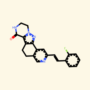 O=C1NCCn2nc3c(c21)CCc1cnc(/C=C/c2ccccc2F)cc1-3